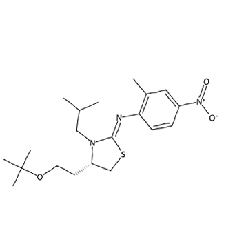 Cc1cc([N+](=O)[O-])ccc1N=C1SC[C@H](CCOC(C)(C)C)N1CC(C)C